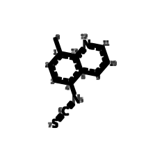 Cc1ccc(N=C=S)c2cccnc12